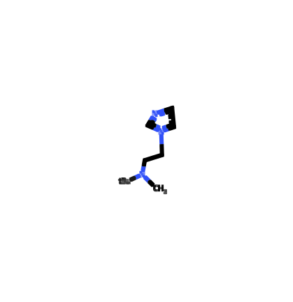 CN(CCn1ccnc1)C(C)(C)C